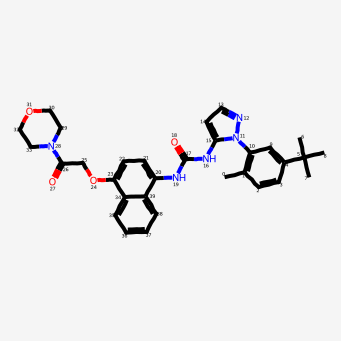 Cc1ccc(C(C)(C)C)cc1-n1nccc1NC(=O)Nc1ccc(OCC(=O)N2CCOCC2)c2ccccc12